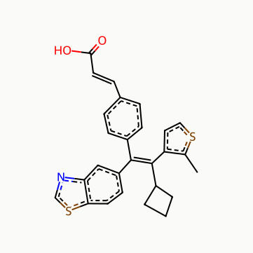 Cc1sccc1/C(=C(\c1ccc(/C=C/C(=O)O)cc1)c1ccc2scnc2c1)C1CCC1